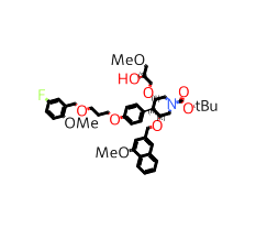 COC[C@H](O)CO[C@@H]1CN(C(=O)OC(C)(C)C)C[C@H](OCc2cc(OC)c3ccccc3c2)[C@H]1c1ccc(OCCCOCc2cc(F)ccc2OC)cc1